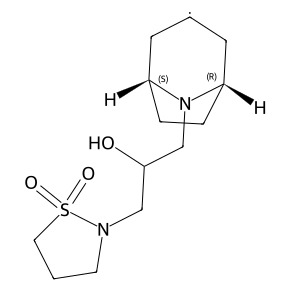 O=S1(=O)CCCN1CC(O)CN1[C@@H]2C[CH]C[C@H]1CC2